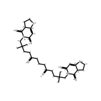 CC(C)(CCC(=O)CCCC(=O)CCC(C)(C)CN1C(=S)C=C2SCCC2C1=S)CN1C(=S)C=C2SCCC2C1=S